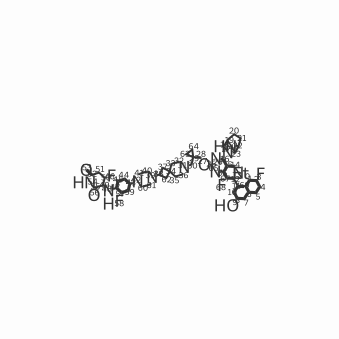 CCc1c(F)ccc2cc(O)cc(-c3ncc4c(N5CC6CCC(C5)N6)nc(OCC5(CN6CCC7(CC6)CC(N6CCN(c8cc(F)c(NC9CCC(=O)NC9=O)c(F)c8)CC6)C7)CC5)nc4c3F)c12